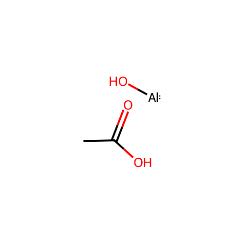 CC(=O)O.[OH][Al]